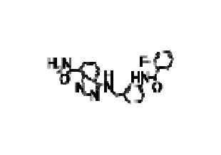 NC(=O)c1cccc2c(NCc3cccc(NC(=O)c4ccccc4F)c3)ncnc12